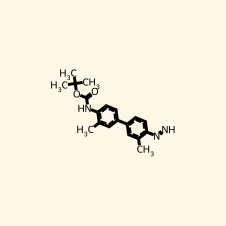 Cc1cc(-c2ccc(NC(=O)OC(C)(C)C)c(C)c2)ccc1N=N